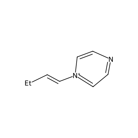 CCC=C[n+]1ccncc1